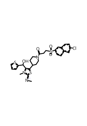 C/N=c1\sc(C2CCN(C(=O)CCS(=O)(=O)c3ccc4cc(Cl)ccc4c3)CC2)c(C(O)c2cccs2)n1C